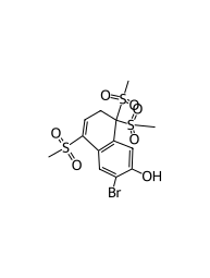 CS(=O)(=O)C1=CCC(S(C)(=O)=O)(S(C)(=O)=O)c2cc(O)c(Br)cc21